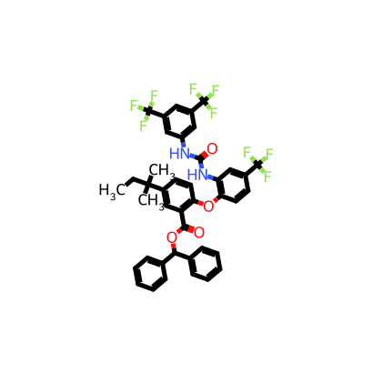 CCC(C)(C)c1ccc(Oc2ccc(C(F)(F)F)cc2NC(=O)Nc2cc(C(F)(F)F)cc(C(F)(F)F)c2)c(C(=O)OC(c2ccccc2)c2ccccc2)c1